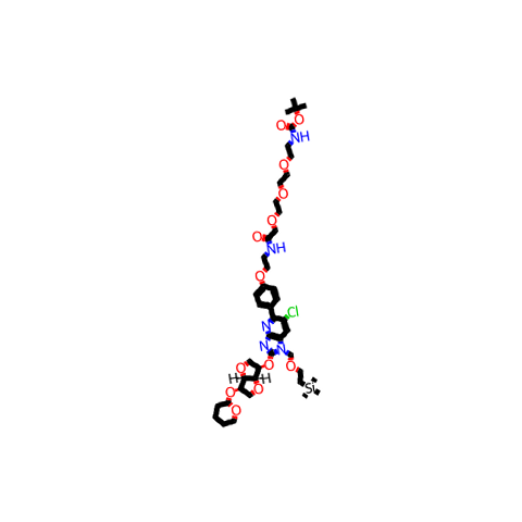 CC(C)(C)OC(=O)NCCOCCOCCOCC(=O)NCCOc1ccc(-c2nc3nc(O[C@@H]4CO[C@H]5[C@@H]4OC[C@H]5OC4CCCCO4)n(COCC[Si](C)(C)C)c3cc2Cl)cc1